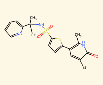 CCc1cc(-c2ccc(S(=O)(=O)NC(C)(C)c3ccccn3)s2)c(C)[nH]c1=O